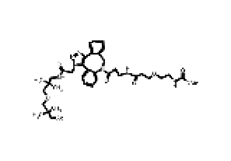 COC(=O)NCCOCCC(=O)NCCC(=O)N1Cc2ccccc2-c2nnn(CC(=O)NCC(C)(C)COCC(C)(C)CC(C)=O)c2-c2ccccc21